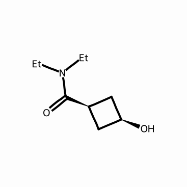 CCN(CC)C(=O)[C@H]1C[C@@H](O)C1